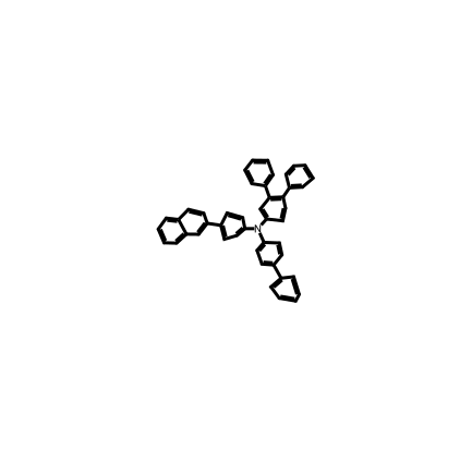 c1ccc(-c2ccc(N(c3ccc(-c4ccc5ccccc5c4)cc3)c3ccc(-c4ccccc4)c(-c4ccccc4)c3)cc2)cc1